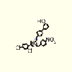 O=[N+]([O-])c1ccc(Cn2cc(-c3ccc(Cl)cc3Cl)nc2/C=C/c2ccc(-c3cccc(O)c3)cc2)cc1